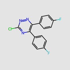 Fc1ccc(-c2nnc(Cl)nc2-c2ccc(F)cc2)cc1